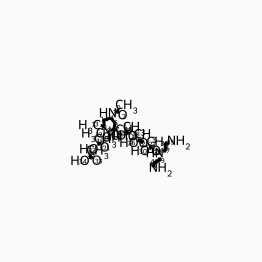 CC(=O)NC1CC(C)(C)N(O)C(C)(C)C1.CC(=O)O.CC(=O)O.CC(=O)O.CC(=O)O.CC(=O)O.NCCNCCN